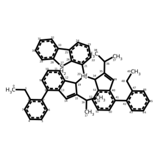 CCc1ccccc1-c1cccc2c1C=C(C(C)C)[CH]2[Hf]([c]1cccc2c1[SiH2]c1ccccc1-2)[CH]1C(C(C)C)=Cc2c(-c3ccccc3CC)cccc21